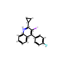 Fc1ccc(-c2c(I)c(C3CC3)nc3ccccc23)cc1